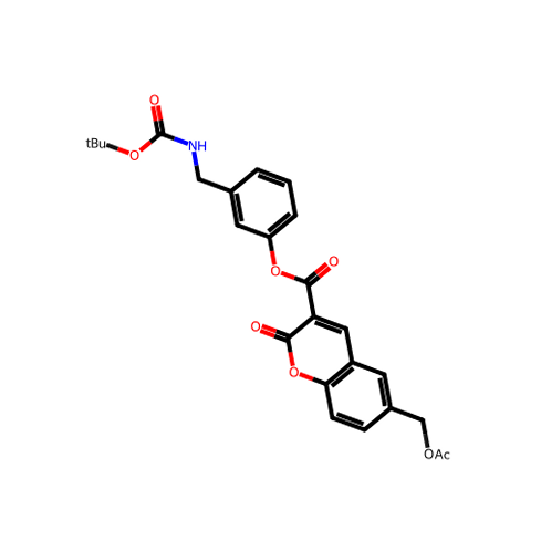 CC(=O)OCc1ccc2oc(=O)c(C(=O)Oc3cccc(CNC(=O)OC(C)(C)C)c3)cc2c1